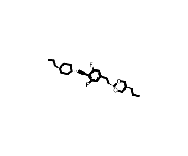 CCC[C@H]1CC[C@H](C#Cc2c(F)cc(CC[C@H]3OC[C@H](CCC)CO3)cc2F)CC1